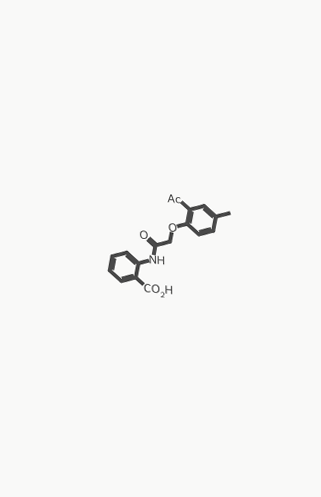 CC(=O)c1cc(C)ccc1OCC(=O)Nc1ccccc1C(=O)O